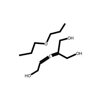 CCCOCCC.OCC=C=C(CO)CO